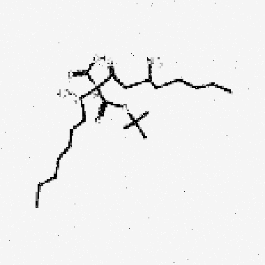 CCCCCCC[C@H](N)[C@](C(=O)O)(C(=O)CC(N)CCCCC)C(=O)OC(C)(C)C